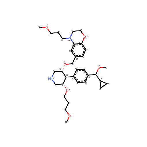 COCCCO[C@@H]1CNC[C@H](OCc2ccc3c(c2)N(CCCOC)CCO3)[C@H]1c1ccc(C(OC)C2CC2)cc1